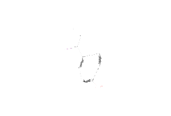 CCC(I)c1ccc(O)cc1